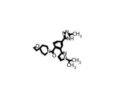 Cc1nnc(-c2ccc(C(=O)N3CCC4(CCO4)CC3)c(-c3ccn(C(C)C)n3)c2)[nH]1